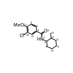 COc1ccc(C(=O)NC2CCCCC2C)cc1Cl